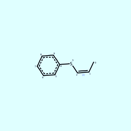 C/C=C\Sc1ccccc1